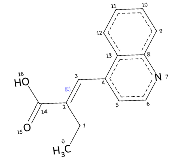 CC/C(=C\c1ccnc2ccccc12)C(=O)O